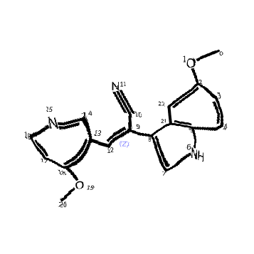 COc1ccc2[nH]cc(/C(C#N)=C/c3cnccc3OC)c2c1